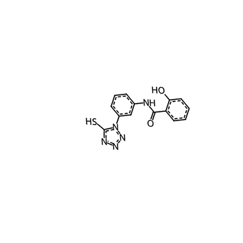 O=C(Nc1cccc(-n2nnnc2S)c1)c1ccccc1O